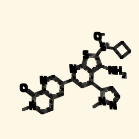 Cn1nccc1-c1cc(-c2cnc3c(=O)n(C)ccc3c2)nc2sc([S+]([O-])C3CCC3)c(N)c12